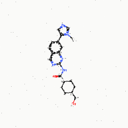 Cn1cncc1-c1ccc2cnc(NC(=O)[C@H]3CC[C@H](CO)CC3)nc2c1